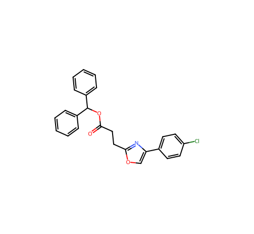 O=C(CCc1nc(-c2ccc(Cl)cc2)co1)OC(c1ccccc1)c1ccccc1